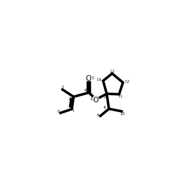 CC=C(C)C(=O)OC1(C(C)C)CCCC1